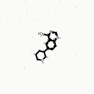 Nc1ncnc2ccc(C3CCCOC3)cc12